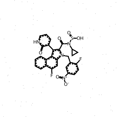 O=C(c1c(-c2ccc[nH]c2=O)c2c3ccccc3c(F)cc2n1Cc1cc([N+](=O)[O-])ccc1F)N(C1CC1)S(=O)O